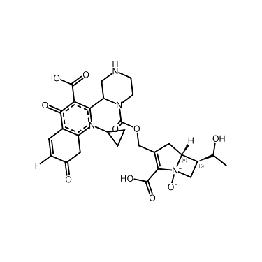 CC(O)[C@H]1C[N+]2([O-])C(C(=O)O)=C(COC(=O)N3CCNCC3c3c(C(=O)O)c(=O)c4c(n3C3CC3)CC(=O)C(F)=C4)C[C@H]12